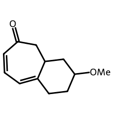 COC1CCC2=CC=CC(=O)CC2C1